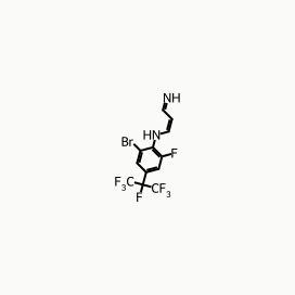 N=C/C=C\Nc1c(F)cc(C(F)(C(F)(F)F)C(F)(F)F)cc1Br